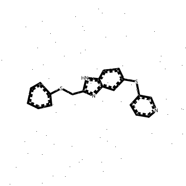 c1ccc(SCc2nc3cc(Sc4cccnc4)ccc3[nH]2)cc1